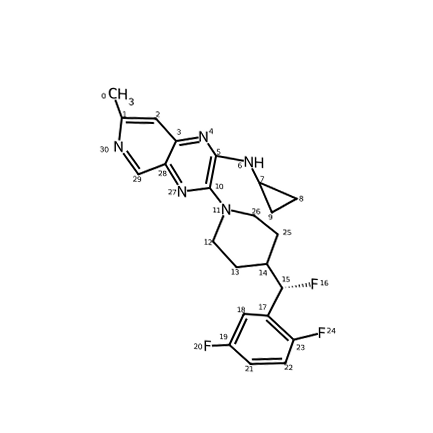 Cc1cc2nc(NC3CC3)c(N3CCC([C@H](F)c4cc(F)ccc4F)CC3)nc2cn1